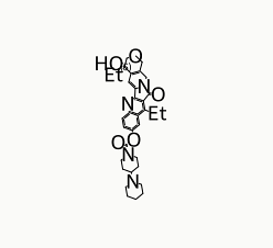 CCc1c2c(nc3ccc(OC(=O)N4CCC(N5CCCCC5)CC4)cc13)C1=CC3=C(COC[C@]3(O)CC)CN1C2=O